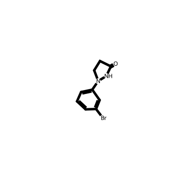 O=C1CCN(c2cccc(Br)c2)N1